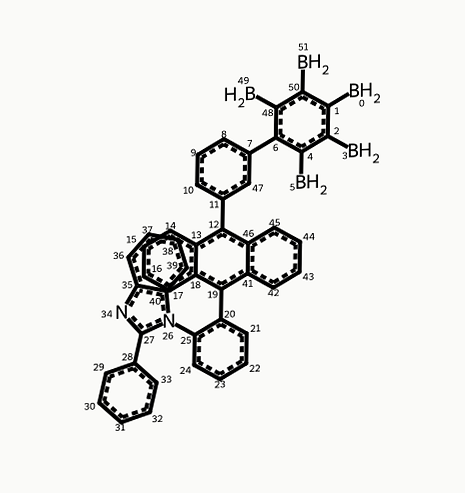 Bc1c(B)c(B)c(-c2cccc(-c3c4ccccc4c(-c4ccccc4-n4c(-c5ccccc5)nc5ccccc54)c4ccccc34)c2)c(B)c1B